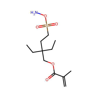 C=C(C)C(=O)OCC(CC)(CC)CCS(=O)(=O)ON